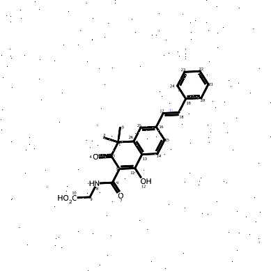 CC1(C)C(=O)C(C(=O)NCC(=O)O)=C(O)c2ccc(/C=C/c3ccccc3)cc21